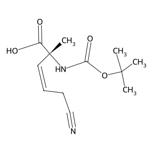 CC(C)(C)OC(=O)N[C@](C)(/C=C\CC#N)C(=O)O